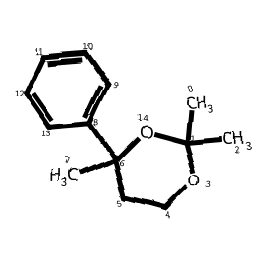 CC1(C)OCCC(C)(c2ccccc2)O1